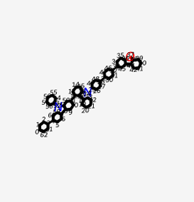 c1ccc(-c2ccc3c4ccc(-c5cccc6c5c5ccccc5n6-c5ccc(-c6ccc(-c7ccc8oc9ccccc9c8c7)cc6)cc5)cc4n(-c4ccccc4)c3c2)cc1